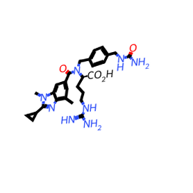 Cc1cc(C(=O)N(Cc2ccc(CNC(N)=O)cc2)[C@H](CCCNC(=N)N)C(=O)O)cc2c1nc(C1CC1)n2C